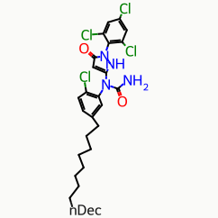 CCCCCCCCCCCCCCCCCCc1ccc(Cl)c(N(C(N)=O)c2cc(=O)n(-c3c(Cl)cc(Cl)cc3Cl)[nH]2)c1